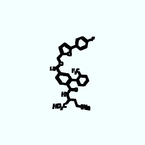 CSCCC(NC(=O)c1ccc(COCc2ccc(-c3ccc(F)cc3)o2)cc1-c1ccccc1C(F)(F)F)C(=O)O.[LiH]